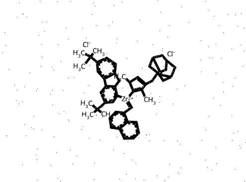 CC1=[C](/[Zr+2](=[CH]/c2cccc3ccccc23)[c]2cc(C(C)(C)C)cc3c2Cc2ccc(C(C)(C)C)cc2-3)C(C)C=C1CC12CC3CC(CC(C3)C1)C2.[Cl-].[Cl-]